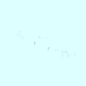 CC(=O)NC(CCC(=O)OCON[NH+]([O-])N(C)C)C(=O)OCO/N=[N+](\[O-])N(C)C